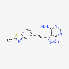 CCc1nc2cc(C#Cc3n[nH]c4ncnc(N)c34)ccc2s1